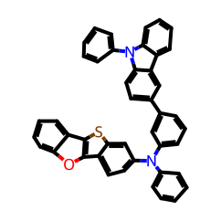 c1ccc(N(c2cccc(-c3ccc4c(c3)c3ccccc3n4-c3ccccc3)c2)c2ccc3c(c2)sc2c4ccccc4oc32)cc1